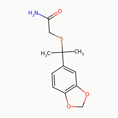 CC(C)(SCC(N)=O)c1ccc2c(c1)OCO2